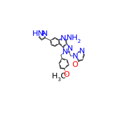 COc1ccc(Cn2c(Cn3cnccc3=O)nc3c(N)nc4cc(-c5cc[nH]n5)ccc4c32)cc1